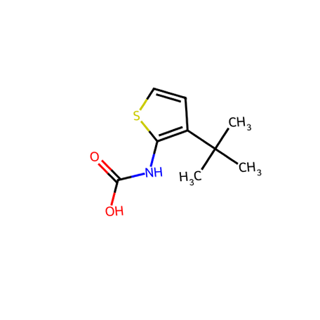 CC(C)(C)c1ccsc1NC(=O)O